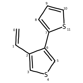 C=Cc1cs[c]c1-c1cccs1